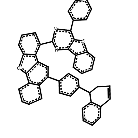 C1=Cc2ccccc2C(c2ccc(-c3cc4c(oc5cccc(-c6nc(-c7ccccc7)c7sc8ccccc8c7n6)c54)c4ccccc34)cc2)C1